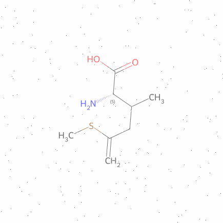 C=C(CC(C)[C@H](N)C(=O)O)SC